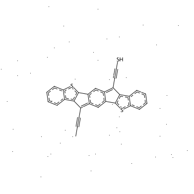 CC#CC1=c2cc3c(cc2-c2sc4ccccc4c21)=C(C#CS)c1c-3sc2ccccc12